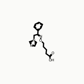 O=C(O)CCCCON=C(Cn1ccnc1)c1ccccc1